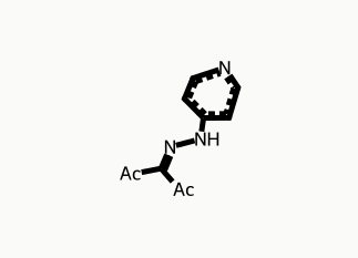 CC(=O)C(=NNc1ccncc1)C(C)=O